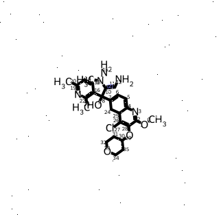 COC1=NC2=CC=C(C(O)(/C(=C/N)N(C)N)c3ccc(C)nc3C)CC2C(Cl)=C1OC1CCOCC1